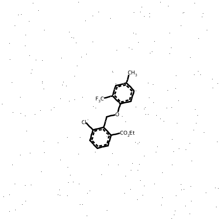 CCOC(=O)c1cccc(Cl)c1COc1ccc(C)cc1C(F)(F)F